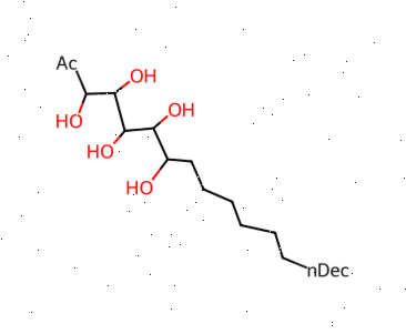 CCCCCCCCCCCCCCCCC(O)C(O)C(O)C(O)C(O)C(C)=O